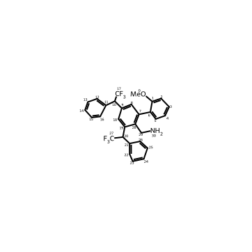 COc1ccccc1-c1cc(C(c2ccccc2)C(F)(F)F)cc(C(c2ccccc2)C(F)(F)F)c1CN